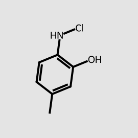 Cc1ccc(NCl)c(O)c1